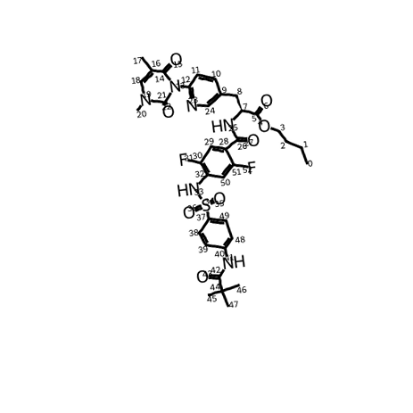 CCCCOC(=O)[C@H](Cc1ccc(-n2c(=O)c(C)cn(C)c2=O)nc1)NC(=O)c1cc(F)c(NS(=O)(=O)c2ccc(NC(=O)C(C)(C)C)cc2)cc1F